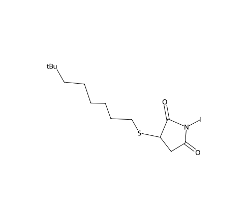 CC(C)(C)CCCCCCSC1CC(=O)N(I)C1=O